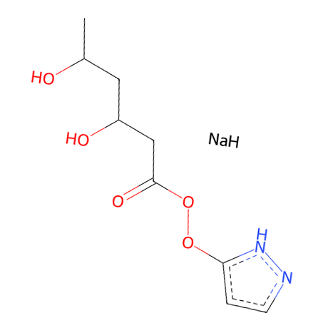 CC(O)CC(O)CC(=O)OOc1ccn[nH]1.[NaH]